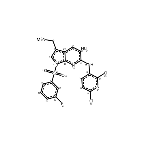 CNCc1cn(S(=O)(=O)c2cccc(F)c2)c2nc(Nc3ccc(Cl)nc3Cl)ccc12.Cl